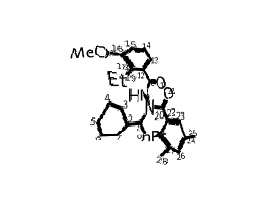 CCCC(C1CCCCC1)N(NC(=O)c1cccc(OC)c1CC)C(=O)c1cc(C)cc(C)c1